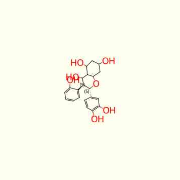 Oc1ccc([C@H]2OC3CC(O)CC(O)C3C(O)[C@@H]2c2ccccc2O)cc1O